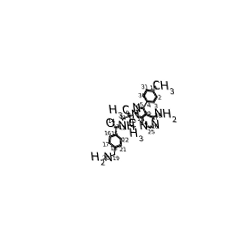 Cc1ccc(-c2nn(C(C)(C)CNC(=O)c3ccc(CN)cc3)c3ncnc(N)c23)cc1